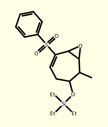 CC[Si](CC)(CC)OC1CC=C(S(=O)(=O)c2ccccc2)C2OC2C1C